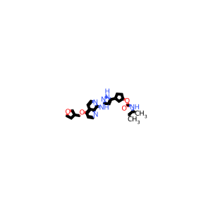 CCC(C)NC(=O)OC1CCC(c2cc(Nc3nccc4c(OCC5CCOC5)ccnc34)n[nH]2)C1